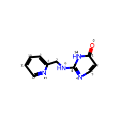 O=c1c[c]nc(NCc2ccccn2)[nH]1